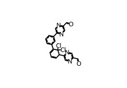 O=Cc1cnc(-c2cccc(C3=CC=CC(c4cnc(C=O)cn4)C3(Cl)Cl)c2)cn1